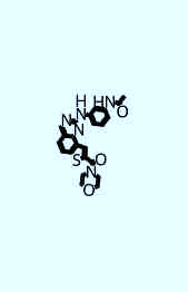 CC(=O)Nc1cccc(Nc2ncc3ccc4sc(C(=O)N5CCOCC5)cc4c3n2)c1